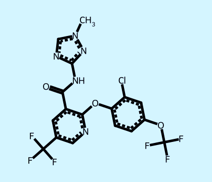 Cn1cnc(NC(=O)c2cc(C(F)(F)F)cnc2Oc2ccc(OC(F)(F)F)cc2Cl)n1